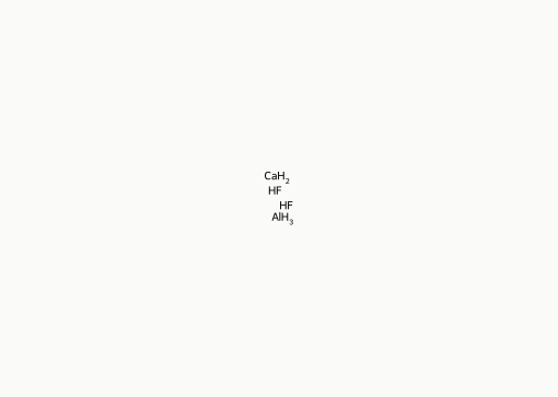 F.F.[AlH3].[CaH2]